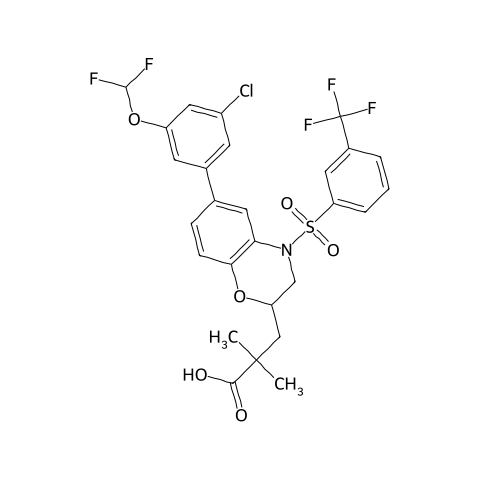 CC(C)(CC1CN(S(=O)(=O)c2cccc(C(F)(F)F)c2)c2cc(-c3cc(Cl)cc(OC(F)F)c3)ccc2O1)C(=O)O